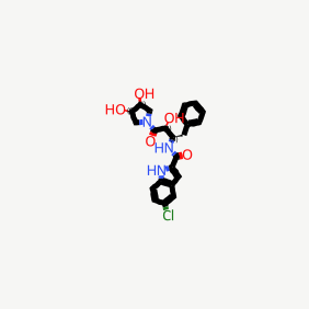 O=C(N[C@@H](Cc1ccccc1)[C@@H](O)C(=O)N1C[C@H](O)[C@@H](O)C1)c1cc2cc(Cl)ccc2[nH]1